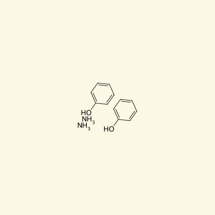 N.N.Oc1ccccc1.Oc1ccccc1